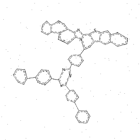 c1ccc(-c2ccc(-c3nc(-c4ccc(-c5ccccc5)cc4)nc(-c4ccc(-c5cc6c7cc8ccccc8cc7sc6c6nc7c8ccc9ccccc9c8ccc7n56)cc4)n3)cc2)cc1